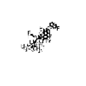 CC(C)[Si](C#CC(COc1c(Cl)c(Br)c(F)c2nc(OC[C@@]34CCCN3C[C@H](F)C4)nc(O)c12)NCCC(F)F)(C(C)C)C(C)C